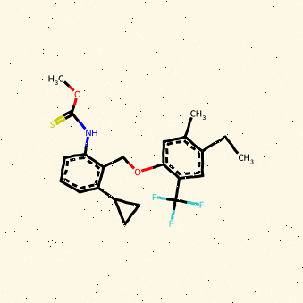 CCc1cc(C(F)(F)F)c(OCc2c(NC(=S)OC)cccc2C2CC2)cc1C